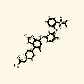 Cc1cc(Nc2ncc(Cl)c(Nc3ccccc3S(=O)(=O)C(C)C)n2)c2c(c1C1CCN(CC(=O)O)CC1)C[C@H](C)O2